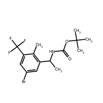 Cc1c(C(C)NC(=O)OC(C)(C)C)cc(Br)cc1C(F)(F)F